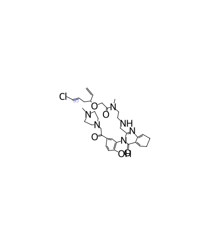 C=CC(C/C=C/Cl)OCC(=O)N(C)CCNCc1nc2c(c(=O)n1-c1cc(C(=O)CN3CCN(C)CC3)ccc1O)=CCCC=2